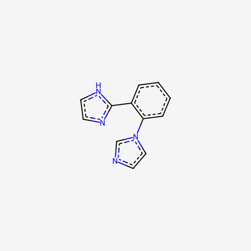 c1ccc(-n2ccnc2)c(-c2ncc[nH]2)c1